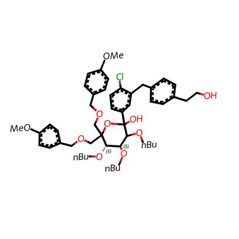 CCCCOC1[C@@H](OCCCC)[C@H](OCCCC)C(COCc2ccc(OC)cc2)(COCc2ccc(OC)cc2)OC1(O)c1ccc(Cl)c(Cc2ccc(CCO)cc2)c1